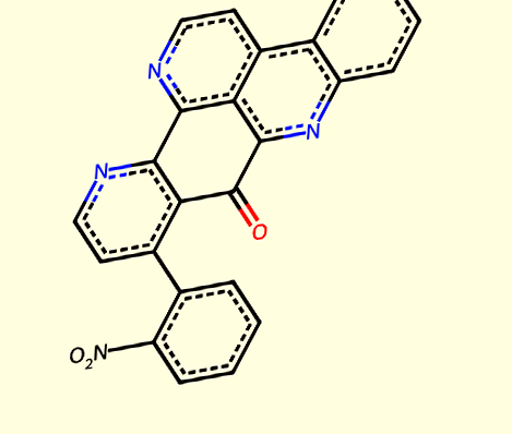 O=C1c2c(-c3ccccc3[N+](=O)[O-])ccnc2-c2nccc3c2c1nc1ccccc13